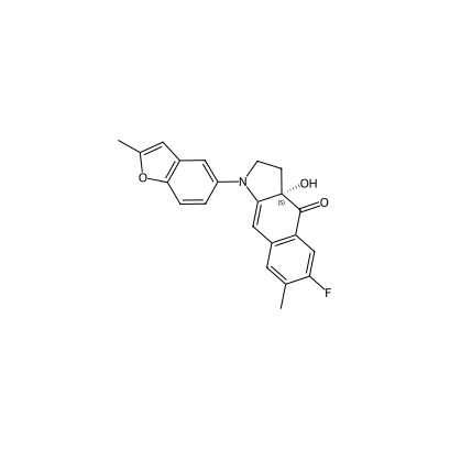 Cc1cc2cc(N3CC[C@@]4(O)C(=O)c5cc(F)c(C)cc5C=C34)ccc2o1